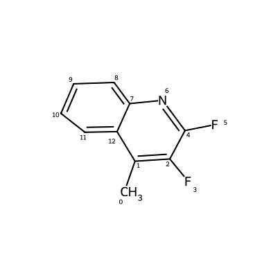 Cc1c(F)c(F)nc2ccccc12